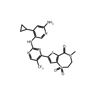 CN1CCS(=O)(=O)c2cc(-c3nc(Nc4cnc(N)cc4C4CC4)ncc3C(F)(F)F)sc2C1=O